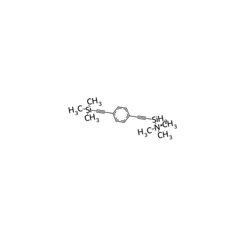 C[N+](C)(C)[SiH2]C#Cc1ccc(C#C[Si](C)(C)C)cc1